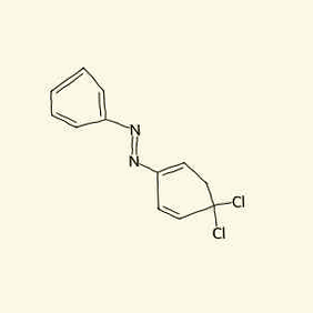 ClC1(Cl)C=CC(N=Nc2ccccc2)=CC1